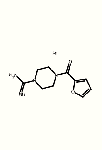 I.N=C(N)N1CCN(C(=O)c2ccco2)CC1